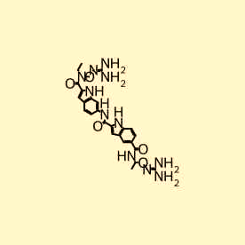 CCN(ON=C(N)N)C(=O)c1cc2ccc(NC(=O)c3cc4cc(C(=O)NC(C)ON=C(N)N)ccc4[nH]3)cc2[nH]1